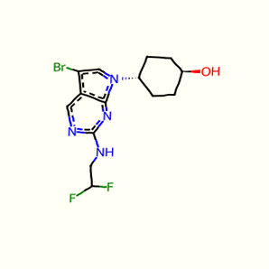 O[C@H]1CC[C@H](n2cc(Br)c3cnc(NCC(F)F)nc32)CC1